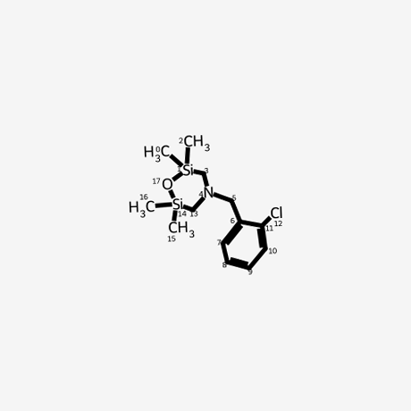 C[Si]1(C)CN(Cc2ccccc2Cl)C[Si](C)(C)O1